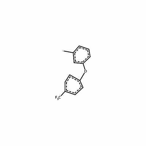 [CH2]c1cccc(Oc2ccc(C(F)(F)F)cc2)c1